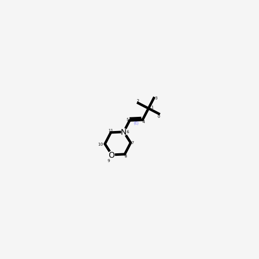 CC(C)(C)/C=C/N1CCOCC1